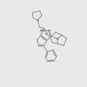 c1ccc(-c2csc3[nH]nc(N4C5CCC4CC(OCCN4CCCC4)C5)c23)cc1